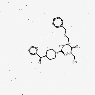 N#CCNC(=O)[C@H](CSCc1ccccc1)NC(=O)N1CCN(C(=O)c2ccco2)CC1